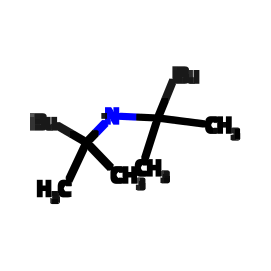 CCC(C)C(C)(C)[N]C(C)(C)C(C)CC